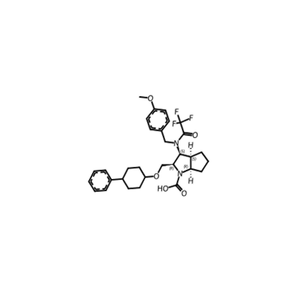 COc1ccc(CN(C(=O)C(F)(F)F)[C@H]2[C@H]3CCC[C@H]3N(C(=O)O)[C@H]2COC2CCC(c3ccccc3)CC2)cc1